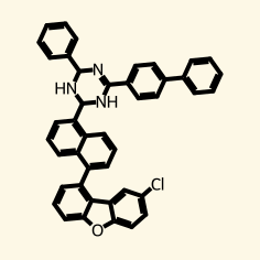 Clc1ccc2oc3cccc(-c4cccc5c(C6NC(c7ccc(-c8ccccc8)cc7)=NC(c7ccccc7)N6)cccc45)c3c2c1